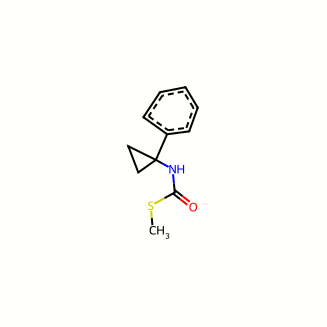 CSC(=O)NC1(c2ccccc2)CC1